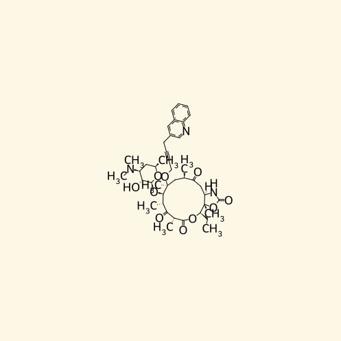 CC[C@H]1OC(=O)[C@H](C)C(=O)[C@H](C)[C@@H](O[C@@H]2O[C@H](C)C[C@H](N(C)C)[C@H]2O)[C@@](C)(OCC#CCc2cnc3ccccc3c2)C[C@@H](C)C(=O)C[C@H]2NC(=O)O[C@@]21C